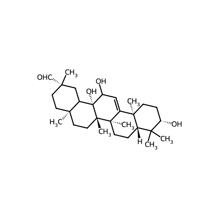 CC1(C)[C@@H](O)CC[C@]2(C)C3=CC(O)[C@]4(O)C5C[C@@](C)(C=O)CC[C@]5(C)CC[C@@]4(C)[C@]3(C)CC[C@@H]12